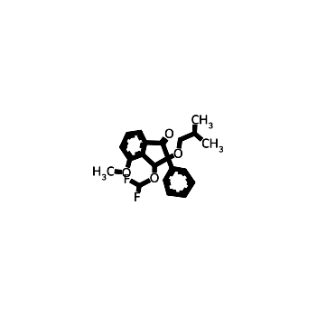 COc1cccc2c1C(OC(F)F)C(OCC(C)C)(c1ccccc1)C2=O